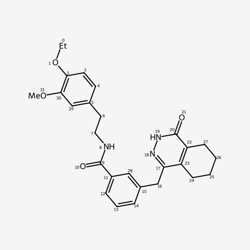 CCOc1ccc(CCNC(=O)c2cccc(Cc3n[nH]c(=O)c4c3CCCC4)c2)cc1OC